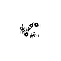 O=C(Nc1ccccc1OCC(O)CN1CCC(Oc2ccc(Cl)cc2)C1)[C@@H]1CSCN1.O=C(O)C(F)(F)F